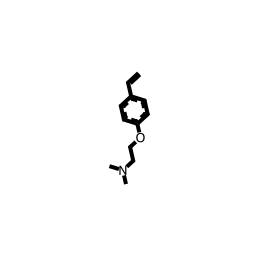 C=Cc1ccc(OCCN(C)C)cc1